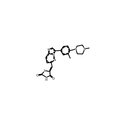 Cc1cc(-c2cnc3ccc(/C=C4\SC(=O)NC4=O)nn23)ccc1N1CCN(C)CC1